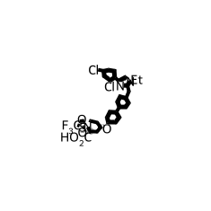 CCn1cc(-c2ccc(Cl)cc2Cl)nc1Cc1ccc(-c2ccc(O[C@H]3CCN(S(=O)(=O)C(F)(F)F)[C@H](C(=O)O)C3)cc2)cc1